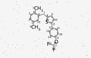 Cc1ccc(C)c(Cc2ccc(-c3ccc(OC(F)F)cc3)s2)c1